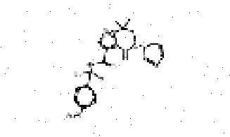 CCC(CC)(NC(=O)c1cnn2c1N[C@@H](C1C=CC=CC1)CC2(C)C)c1ccc(SC)cc1